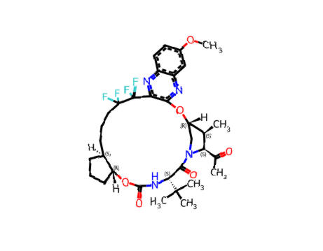 COc1ccc2nc3c(nc2c1)O[C@H]1CN(C(=O)[C@H](C(C)(C)C)NC(=O)O[C@@H]2CCC[C@H]2CCCC(F)(F)C3(F)F)[C@H](C(C)=O)[C@@H]1C